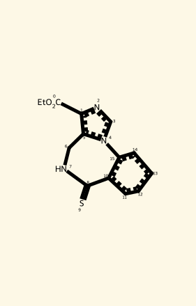 CCOC(=O)c1ncn2c1CNC(=S)c1ccccc1-2